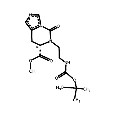 COC(=O)[C@@H]1Cc2cncn2C(=O)N1CCNC(=O)OC(C)(C)C